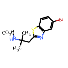 CC(C)(Cc1nc2cc(Br)ccc2s1)NC(=O)O